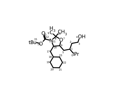 CC(C)C(CCO)CC1OC(C)(C)N(C(=O)OC(C)(C)C)C1CC1CCCCC1